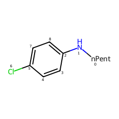 CCCCCNc1ccc(Cl)cc1